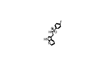 O=S(=O)(NCc1c[nH]c2ncccc12)c1ccc(F)cc1